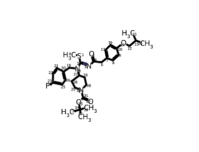 CS/C(=N\C(=O)Cc1ccc(OCC(C)C)cc1)N(Cc1ccc(F)cc1)C1CCN(C(=O)OC(C)(C)C)CC1